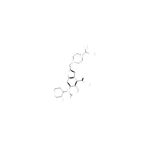 CCc1c(N(CC)C2CCOCC2)cc2oc(CN3CCN(C(C)C)CC3)cc2c1C(=O)O